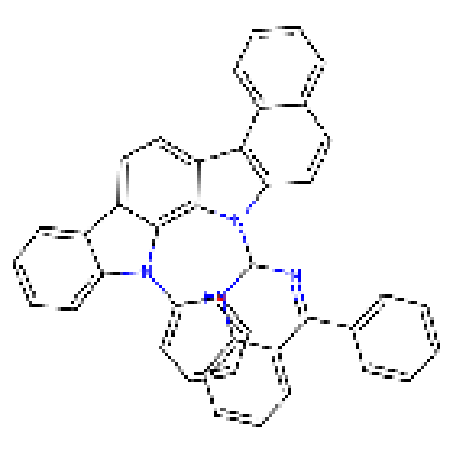 c1ccc(C2=NC(n3c4ccc5ccccc5c4c4ccc5c6ccccc6n(-c6ccccc6)c5c43)Nc3ccccc32)cc1